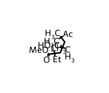 CCC(C)(CC(C)(CC(C)(C)C(C)=O)C(=O)O)C(=O)OC